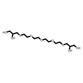 OCC(O)CSCCOCCOCCOCCSCC(O)CO